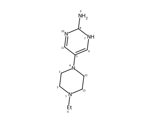 CCN1CCN(C2=CNC(N)N=C2)CC1